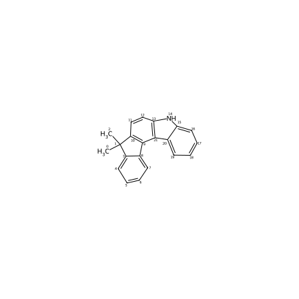 CC1(C)c2ccccc2-c2c1ccc1[nH]c3ccccc3c21